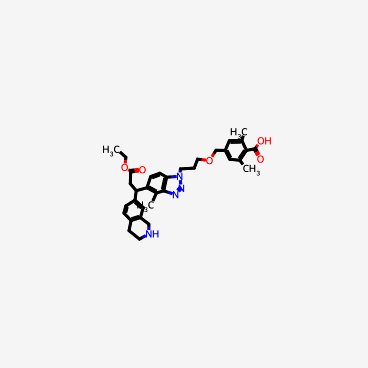 CCOC(=O)CC(c1ccc2c(c1)CNCC2)c1ccc2c(nnn2CCCOCc2cc(C)c(C(=O)O)c(C)c2)c1C